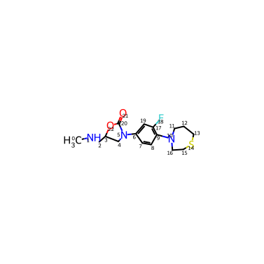 CNCC1CN(c2ccc(N3CCCSCC3)c(F)c2)C(=O)O1